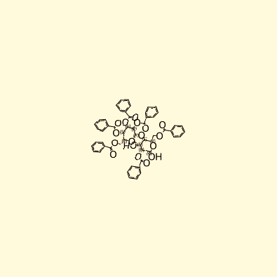 O=C(OC[C@H]1O[C@@H](O[C@H]2[C@H](O)[C@@H](OC(=O)c3ccccc3)[C@H](O)O[C@@H]2COC(=O)c2ccccc2)[C@H](OC(=O)c2ccccc2)[C@@H](OC(=O)c2ccccc2)[C@H]1OC(=O)c1ccccc1)c1ccccc1